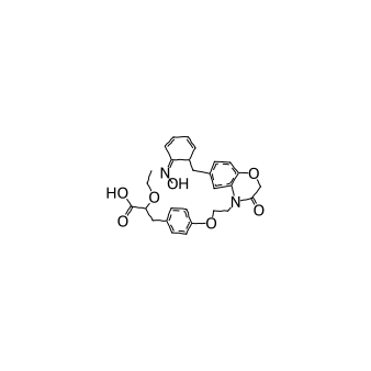 CCOC(Cc1ccc(OCCN2C(=O)COc3ccc(CC4C=CC=CC4=NO)cc32)cc1)C(=O)O